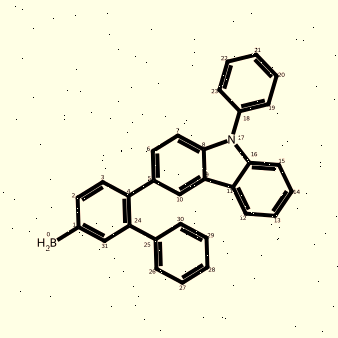 Bc1ccc(-c2ccc3c(c2)c2ccccc2n3-c2ccccc2)c(-c2ccccc2)c1